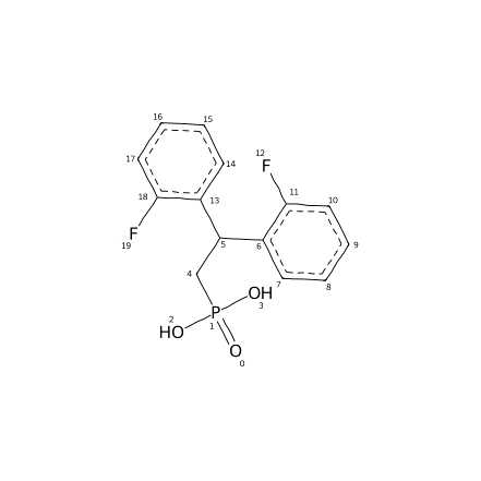 O=P(O)(O)CC(c1ccccc1F)c1ccccc1F